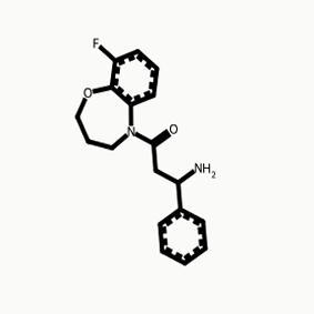 NC(CC(=O)N1CCCOc2c(F)cccc21)c1ccccc1